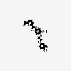 CC(C)c1cccc(C(=O)NC23CCC(NC(=O)COc4ccc(Cl)c(F)c4)(CC2)C(O)C3)n1